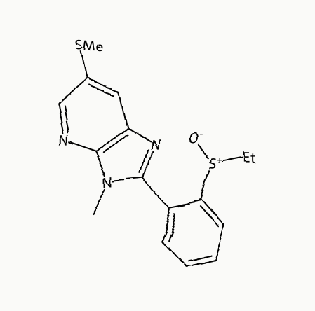 CC[S+]([O-])c1ccccc1-c1nc2cc(SC)cnc2n1C